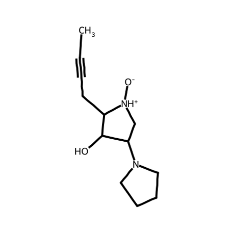 CC#CCC1C(O)C(N2CCCC2)C[NH+]1[O-]